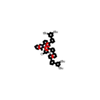 C=C(/C(=C(\C=C/C)c1ccccc1)N(c1ccc(-c2cccc(-c3cc(C(C)(C)C)cc(C(C)(C)C)c3)c2)cc1)c1cc(Cl)cc(N(c2ccc(-c3cccc(-c4cc(C(C)(C)C)cc(C(C)(C)C)c4)c3)cc2)c2c(-c3ccccc3)cccc2-c2ccccc2)c1)c1ccccc1